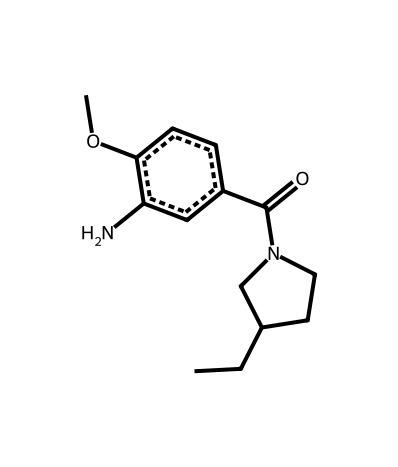 CCC1CCN(C(=O)c2ccc(OC)c(N)c2)C1